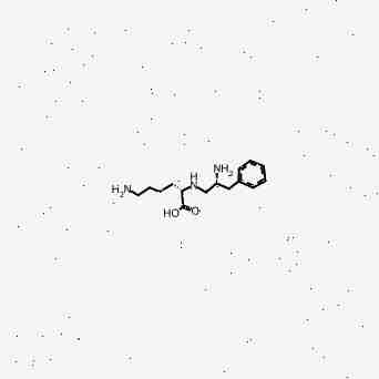 NCCCC[C@H](NC[C@@H](N)Cc1ccccc1)C(=O)O